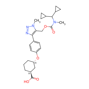 CN(C(=O)OCc1c(-c2ccc(O[C@H]3CCC[C@H](C(=O)O)C3)cc2)nnn1C)C(C1CC1)C1CC1